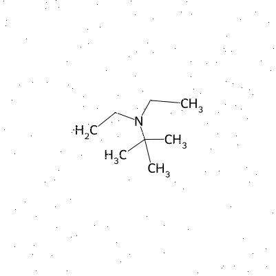 [CH2]CN(CC)C(C)(C)C